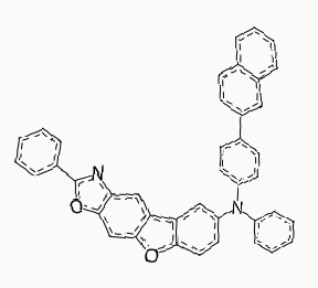 c1ccc(-c2nc3cc4c(cc3o2)oc2ccc(N(c3ccccc3)c3ccc(-c5ccc6ccccc6c5)cc3)cc24)cc1